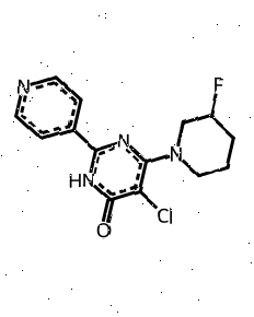 O=c1[nH]c(-c2ccncc2)nc(N2CCCC(F)C2)c1Cl